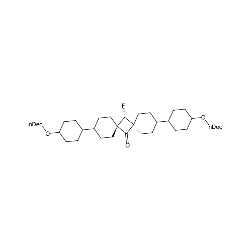 CCCCCCCCCCOC1CCC(C2CC[C@]3(CC2)C(=O)[C@@]2(CCC(C4CCC(OCCCCCCCCCC)CC4)CC2)[C@H]3F)CC1